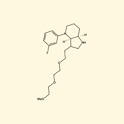 COCCOCCOCCC1CN[C@@H]2CCCN(c3cccc(F)c3)[C@H]12